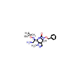 Cn1ncc2c1[C@@H](/C(CN)=N/O[Si](C)(C)C(C)(C)C)N1C[C@H]2N(OCc2ccccc2)C1=O